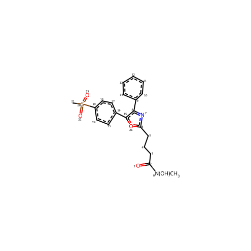 CN(O)C(=O)CCCc1nc(-c2ccccc2)c(-c2ccc(S(C)(=O)=O)cc2)o1